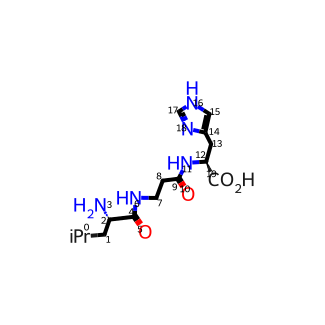 CC(C)C[C@H](N)C(=O)NCCC(=O)N[C@@H](Cc1c[nH]cn1)C(=O)O